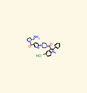 Cc1ccc2c(c1)c(C(=O)N1CCN(c3ccc(C(=O)N4CCC[C@H]4CN)cn3)CC1)c(-c1ccccc1)n2C.Cl